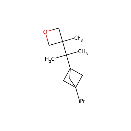 CC(C)C12CC(C(C)(C)C3(C(F)(F)F)COC3)(C1)C2